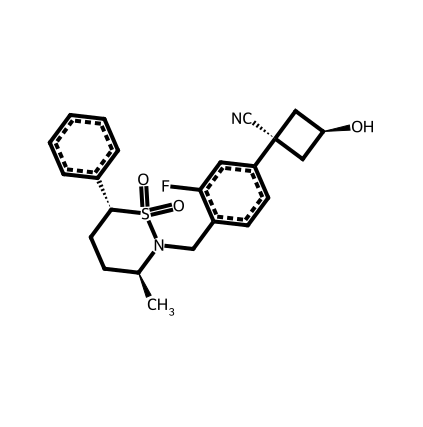 C[C@H]1CC[C@H](c2ccccc2)S(=O)(=O)N1Cc1ccc([C@]2(C#N)C[C@H](O)C2)cc1F